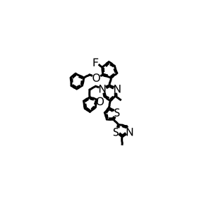 Cc1ncc(-c2ccc(-c3c(C)nc(-c4cccc(F)c4OCc4ccccc4)n(CCc4ccccc4)c3=O)s2)s1